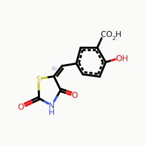 O=C1NC(=O)/C(=C\c2ccc(O)c(C(=O)O)c2)S1